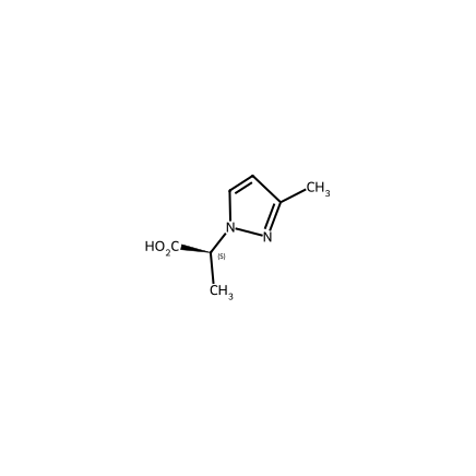 Cc1ccn([C@@H](C)C(=O)O)n1